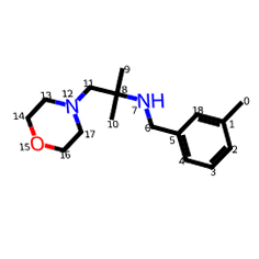 Cc1cccc(CNC(C)(C)CN2CCOCC2)c1